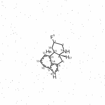 FC1CN[C@@H]2Cc3c[nH]c4cccc(c34)[C@H]2C1